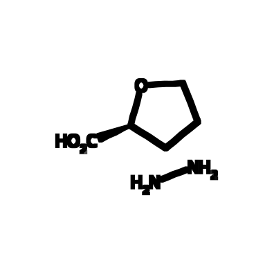 NN.O=C(O)[C@@H]1CCCO1